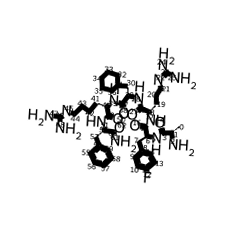 C[C@H](N)C(=O)N[C@@H](Cc1ccc(F)cc1)C(=O)N[C@@H](CCCN=C(N)N)C(=O)N[C@@H](CC1CCCCC1)C(=O)N[C@@H](CCCCN=C(N)N)C(=O)N[C@@H](Cc1ccccc1)C(N)=O